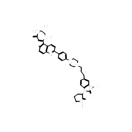 C[C@@H]1CNc2c(sc3ccc4nc(-c5ccc(N6CCN(CCCc7ccc8c(c7)n(C)c(=O)n8C7CCC(=O)NC7=O)CC6)cc5)ccc4c23)C(=O)N1